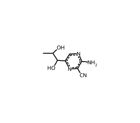 CC(O)C(O)c1cnc(N)c(C#N)n1